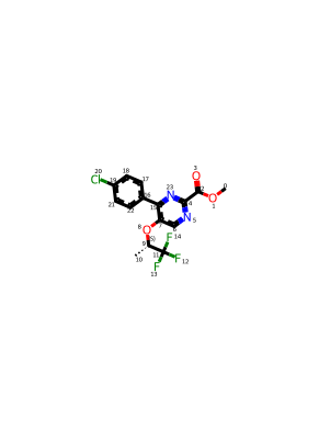 COC(=O)c1ncc(O[C@@H](C)C(F)(F)F)c(-c2ccc(Cl)cc2)n1